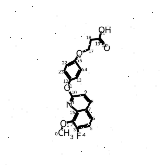 COc1c(F)ccc2ccc(Oc3ccc(OCCC(=O)O)cc3)nc12